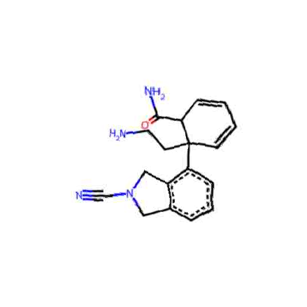 N#CN1Cc2cccc(C3(CCN)C=CC=CC3C(N)=O)c2C1